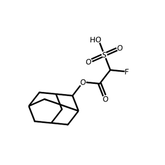 O=C(OC1C2CC3CC(C2)CC1C3)C(F)S(=O)(=O)O